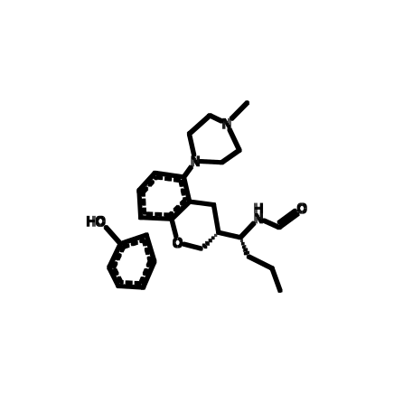 CCC[C@@H](NC=O)[C@@H]1COc2cccc(N3CCN(C)CC3)c2C1.Oc1ccccc1